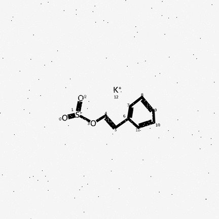 O=[S-](=O)OC=Cc1ccccc1.[K+]